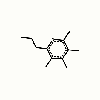 CCCc1nc(C)c(C)c(C)c1C